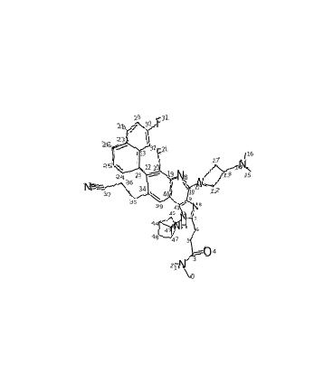 CN(C)C(=O)CCc1nc2c(N3CC(N(C)C)C3)nc3c(F)c(-c4cccc5ccc(F)cc45)c(CCC#N)cc3c2n1C1C2CNC1C2